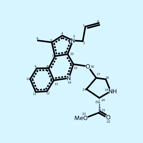 C=CCn1cc(C)c2c3ccccc3nc(OC3CN[C@H](C(=O)OC)C3)c21